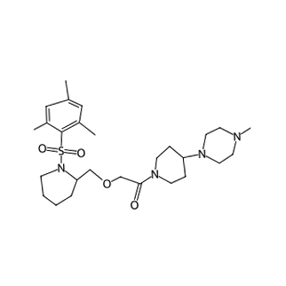 Cc1cc(C)c(S(=O)(=O)N2CCCCC2COCC(=O)N2CCC(N3CCN(C)CC3)CC2)c(C)c1